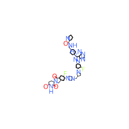 Nc1ncnc2c1c(-c1ccc(CNC(=O)c3ccccn3)cc1)nn2-c1ccc(N2CC[C@@H](CN3CCN(c4cc5c(cc4F)C(=O)N([C@H]4CCC(=O)NC4=O)C5)CC3)C2)c(F)c1